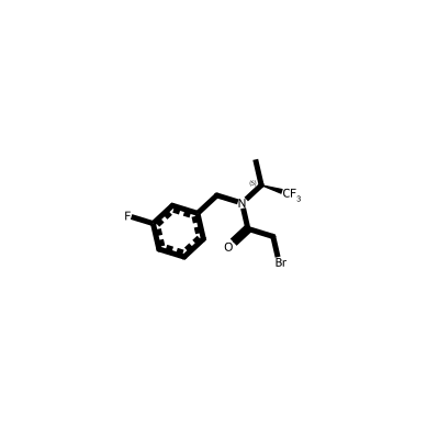 C[C@H](N(Cc1cccc(F)c1)C(=O)CBr)C(F)(F)F